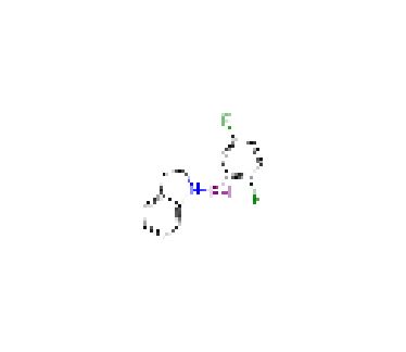 Fc1ccc(F)c(PN2CCc3ccccc32)c1